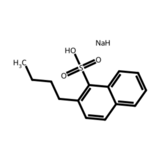 CCCCc1ccc2ccccc2c1S(=O)(=O)O.[NaH]